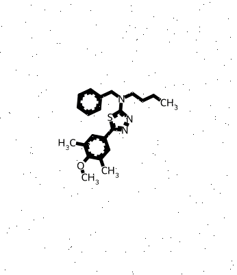 CCCCN(Cc1ccccc1)c1nnc(-c2cc(C)c(OC)c(C)c2)s1